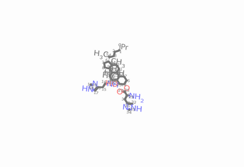 CC(C)CCCC(C)[C@H]1CC[C@H]2[C@@H]3C[C@@H](NCCc4c[nH]cn4)[C@@]4(O)C[C@@H](OC(=O)C(N)Cc5c[nH]cn5)CC[C@]4(C)[C@H]3CC[C@]12C